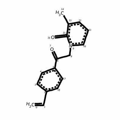 C=Cc1ccc(C(=O)Cn2cccc(C)c2=O)cc1